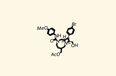 COc1ccc(NC(=O)N2CCC(COC(C)=O)CN3[C@H](CO)[C@H](c4ccc(Br)cc4)[C@@H]3C2)cc1